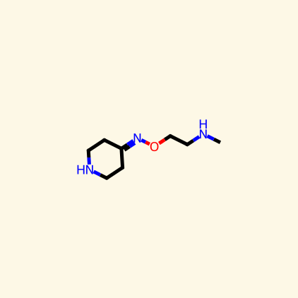 CNCCON=C1CCNCC1